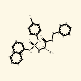 C[C@H](NP(=O)(Oc1ccc(Cl)cc1)Oc1cccc2ccccc12)C(=O)OCc1ccccc1